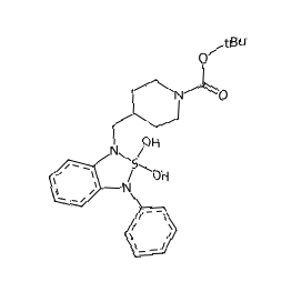 CC(C)(C)OC(=O)N1CCC(CN2c3ccccc3N(c3ccccc3)S2(O)O)CC1